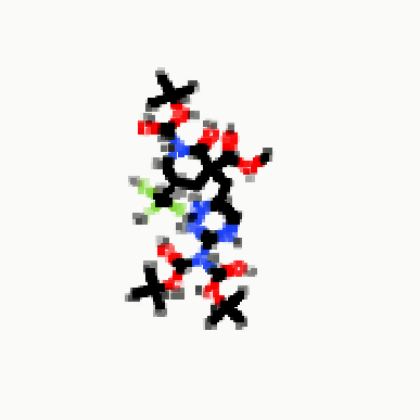 COC(=O)C1(Cc2cnc(N(C(=O)OC(C)(C)C)C(=O)OC(C)(C)C)nn2)C[C@@H](C(F)(F)F)CN(C(=O)OC(C)(C)C)C1=O